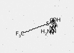 C[C@H](Cn1cnc2c(N)ncnc21)OCP(=O)(O)OCCSCCCCCCCCCCCCCCCCC(F)(F)F